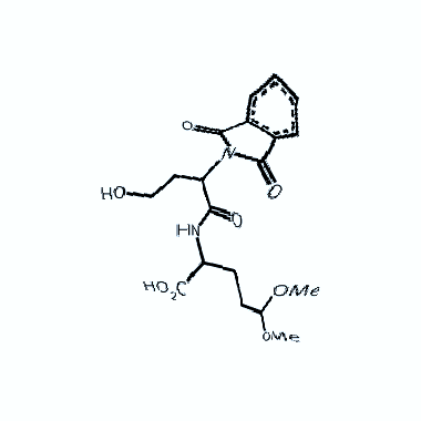 COC(CCC(NC(=O)C(CCO)N1C(=O)c2ccccc2C1=O)C(=O)O)OC